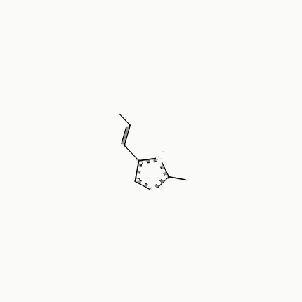 C/C=C/c1csc(Cl)n1